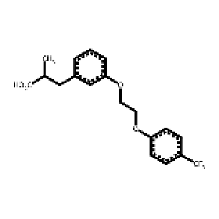 CC(Cc1cccc(OCCOc2ccc(C(F)(F)F)cc2)c1)C(=O)O